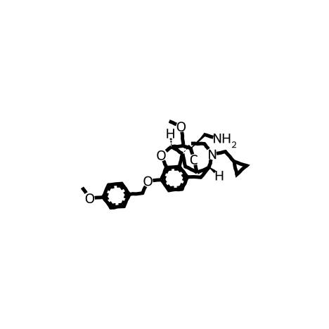 COc1ccc(COc2ccc3c4c2O[C@H]2C(OC)[C@@H](CN)CC5C[C@@]42CCN(CC2CC2)[C@@H]5C3)cc1